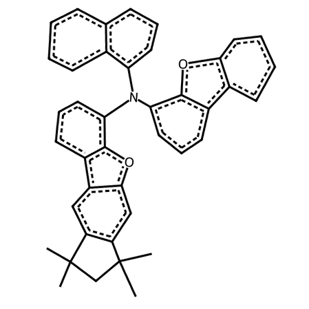 CC1(C)CC(C)(C)c2cc3c(cc21)oc1c(N(c2cccc4ccccc24)c2cccc4c2oc2ccccc24)cccc13